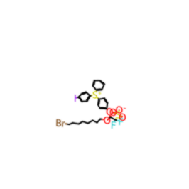 Ic1ccc([S+](c2ccccc2)c2ccccc2)cc1.O=C(OCCCCCCCCBr)C(F)(F)S(=O)(=O)[O-]